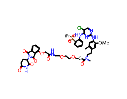 COc1cc(CCN(C)C(=O)CCOCCOCCNC(=O)COc2cccc3c2C(=O)N(C2CCC(=O)NC2=O)C3=O)c(C)cc1Nc1ncc(Cl)c(Nc2ccccc2S(=O)(=O)C(C)C)n1